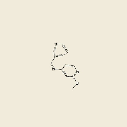 COc1cc(/N=C\c2cccnc2)ccn1